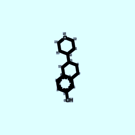 Oc1ccc2c(c1)CCC(C1CCOCC1)C2